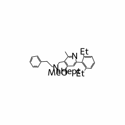 CCCCCCCN(CCc1ccccc1)Cc1c(OC)cc(-c2c(CC)cccc2CC)nc1C